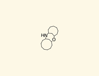 C1CCCC2CC(CCC1)OC1CCCCCCC(C1)N2